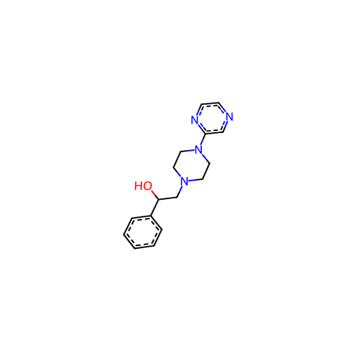 OC(CN1CCN(c2cnccn2)CC1)c1ccccc1